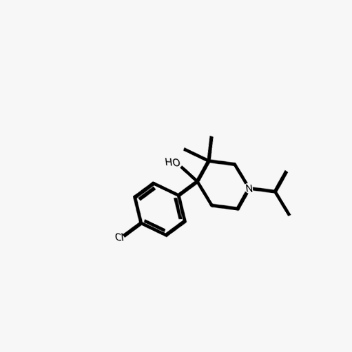 CC(C)N1CCC(O)(c2ccc(Cl)cc2)C(C)(C)C1